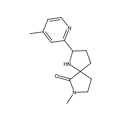 Cc1ccnc(C2CCC3(CCN(C)C3=O)N2)c1